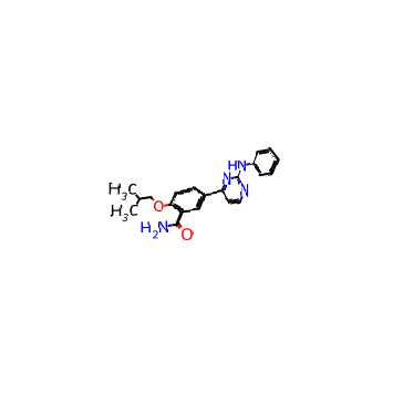 CC(C)COc1ccc(-c2ccnc(Nc3ccccc3)n2)cc1C(N)=O